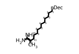 CCCCCCCCCCCCCCCCCCCCCC(C)=C(N)N